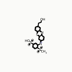 CS(=O)(=O)c1ccc(S(=O)(=O)O)cc1/N=c1/ccc2nc3cc(CCO)ccc3sc-2c1